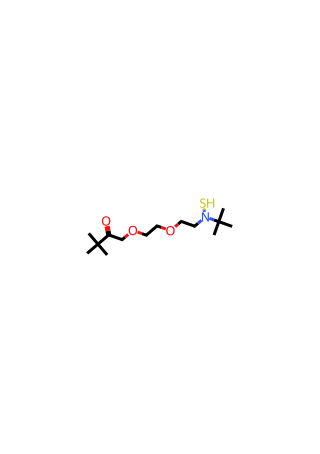 CC(C)(C)C(=O)COCCOCCN(S)C(C)(C)C